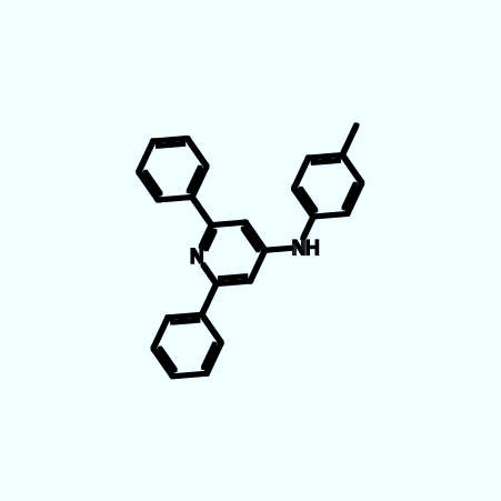 Cc1ccc(Nc2cc(-c3ccccc3)nc(-c3ccccc3)c2)cc1